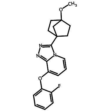 COC12CCC(c3nnc4c(Oc5ccccc5F)cccn34)(CC1)C2